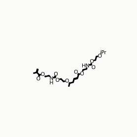 C=C(C)C(=O)OCCNC(=O)OCCOC(C)C/C=C/C(=O)OCCNC(=O)OCCOC(C)C